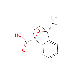 C[C@@]12CC[C@@](C(=O)O)(O1)c1ccccc12.[LiH]